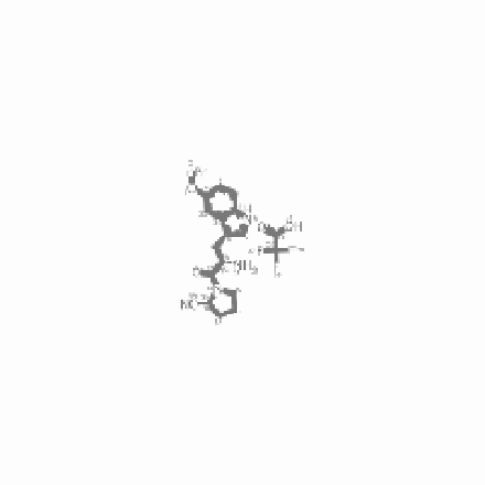 CCCOc1ccc2[nH]cc(C[C@H](N)C(=O)N3CCC[C@H]3C#N)c2c1.O=C(O)C(F)(F)F